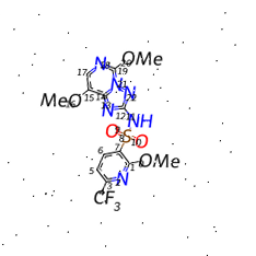 COc1nc(C(F)(F)F)ccc1S(=O)(=O)Nc1nc2c(OC)cnc(OC)n2n1